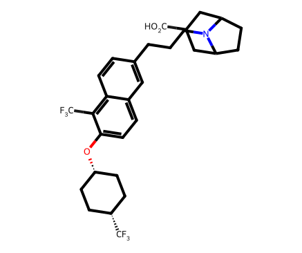 O=C(O)C1CC2CCC(C1)N2CCCc1ccc2c(C(F)(F)F)c(O[C@H]3CC[C@@H](C(F)(F)F)CC3)ccc2c1